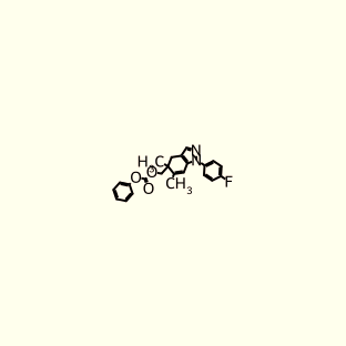 CC1=Cc2c(cnn2-c2ccc(F)cc2)CC1(C)COC(=O)Oc1ccccc1